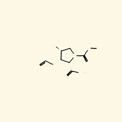 C=CC[C@H]1[C@@H](C(=O)OC)N(C(=O)OC(C)(C)C)C[C@@H]1N